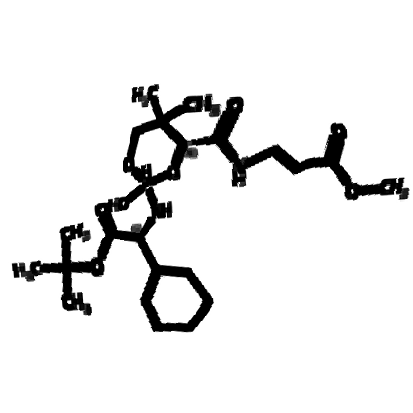 COC(=O)CCNC(=O)[C@@H]1O[PH](O)(N[C@H](C(=O)OC(C)(C)C)C2CCCCC2)OCC1(C)C